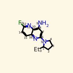 CCC1CCCN1c1cc(N)c2nc(F)ccc2n1